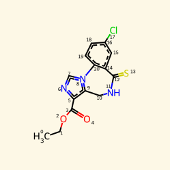 CCOC(=O)c1ncn2c1CNC(=S)c1cc(Cl)ccc1-2